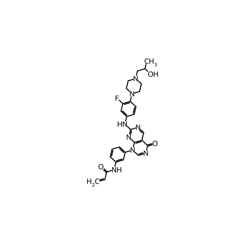 C=CC(=O)Nc1cccc(-n2cnc(=O)c3cnc(Nc4ccc(N5CCN(CC(C)O)CC5)c(F)c4)nc32)c1